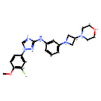 COc1ccc(-n2cnc(Nc3cccc(N4CC(N5CCOCC5)C4)c3)n2)cc1F